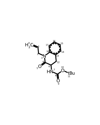 C=CCN1C(=O)C(NC(=O)OC(C)(C)C)Cc2ccccc21